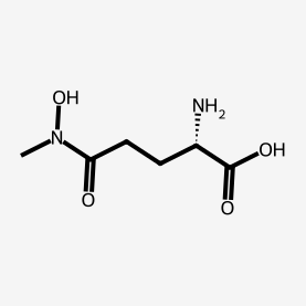 CN(O)C(=O)CC[C@H](N)C(=O)O